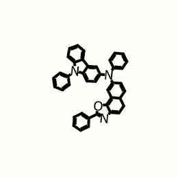 C1=CC2CC=c3nc(-c4ccccc4)oc3=C2C=C1N(c1ccccc1)c1ccc2c(c1)c1ccccc1n2-c1ccccc1